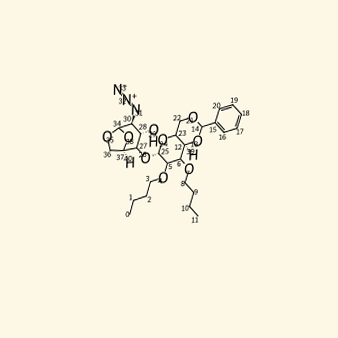 CCCCOC1C(OCCCC)[C@@H]2OC(c3ccccc3)OCC2O[C@H]1OC1[C@@H](O)[C@H](N=[N+]=[N-])C2OC[C@H]1O2